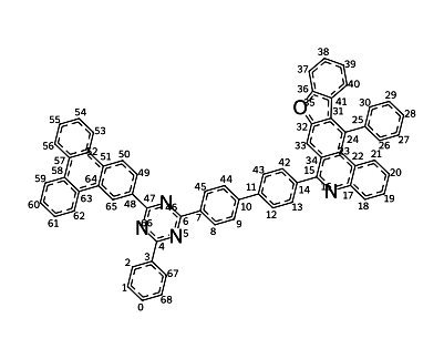 c1ccc(-c2nc(-c3ccc(-c4ccc(-c5nc6ccccc6c6c(-c7ccccc7)c7c(cc56)oc5ccccc57)cc4)cc3)nc(-c3ccc4c5ccccc5c5ccccc5c4c3)n2)cc1